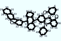 S=P12c3c4cccc3Oc3cc(-c5c6ccccc6c(-c6ccc7oc8cc9ccccc9cc8c7c6)c6ccccc56)cc(c31)N(c1ccccc1)c1cccc(c12)O4